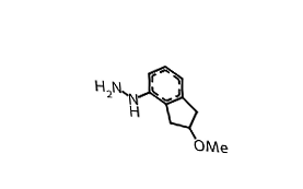 COC1Cc2cccc(NN)c2C1